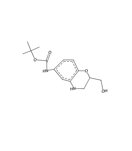 CC(C)(C)OC(=O)Nc1ccc2c(c1)NCC(CO)O2